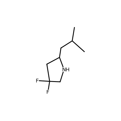 CC(C)CC1CC(F)(F)CN1